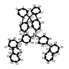 c1ccc2c(c1)-c1ccccc1C21c2ccccc2-c2ccc(N(c3ccc(-c4cccc5ccccc45)cc3)c3ccc(-c4cccc5c4sc4ccccc45)cc3)cc21